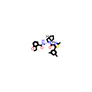 Cc1cc(C)cc(-c2sc(C)nc2C(=O)N2[C@H](CNC(=O)c3cccc4c3CCO4)C[C@@H]3CCC[C@@H]32)c1